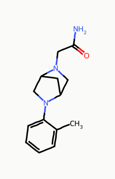 Cc1ccccc1N1CC2CC1CN2CC(N)=O